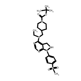 CCN(CC1CCN(C(=O)OC(C)(C)C)CC1)c1ncnc2c1CNN2c1ccc(S(C)(=O)=O)cc1